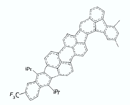 Cc1cc(C)c2c3cccc4cc5c6ccc7c8ccc9c%10c(ccc(c%11ccc(c6c7%11)c5c(c2c1)c43)c%108)-c1c-9c(C(C)C)c2cc(C(F)(F)F)ccc2c1C(C)C